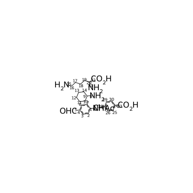 CC(=O)Nc1ccc(C=O)cc1.NC1CCCCC1.NCCCCC(N)C(=O)O.O=C(O)c1ccc(Cl)cc1